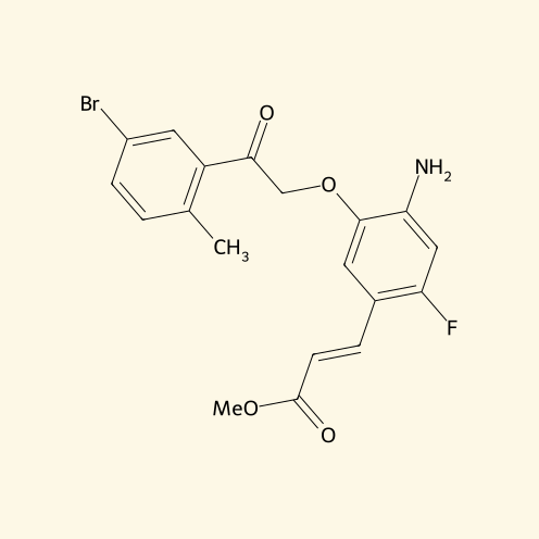 COC(=O)/C=C/c1cc(OCC(=O)c2cc(Br)ccc2C)c(N)cc1F